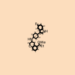 CC[C@H](OC)c1cccc2c1CC(NC1CCC(c3c[nH]c4ccc(F)cc34)CC1)CO2